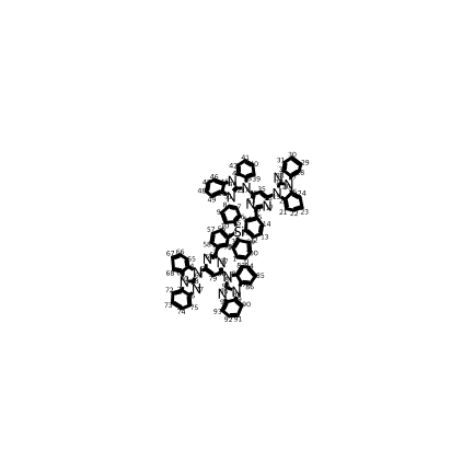 c1ccc([Si](c2ccccc2)(c2cccc(-c3nc(-n4c5ccccc5n5c6ccccc6nc45)cc(-n4c5ccccc5n5c6ccccc6nc45)n3)c2)c2cccc(-c3nc(-n4c5ccccc5n5c6ccccc6nc45)cc(-n4c5ccccc5n5c6ccccc6nc45)n3)c2)cc1